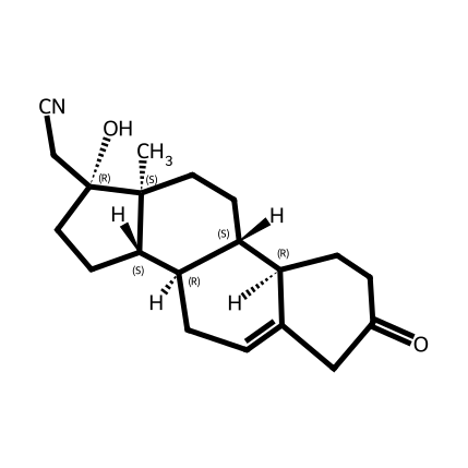 C[C@]12CC[C@H]3[C@@H](CC=C4CC(=O)CC[C@@H]43)[C@@H]1CC[C@@]2(O)CC#N